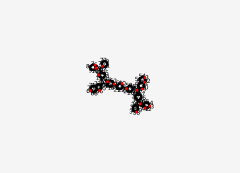 c1ccc(N(c2ccccc2)c2ccc(N(c3ccc(-c4ccc(-c5ccc(N(c6ccc(N(c7ccccc7)c7ccccc7)cc6)c6ccc7ccccc7c6)cc5)cc4)cc3)c3ccc4ccccc4c3)cc2)cc1